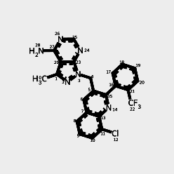 Cc1nn(Cc2cc3cccc(Cl)c3nc2-c2ccccc2C(F)(F)F)c2ncnc(N)c12